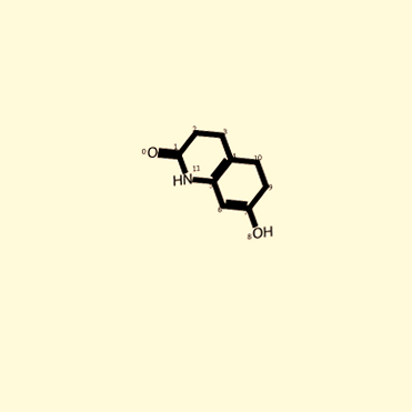 O=C1CCC2=C(C=C(O)CC2)N1